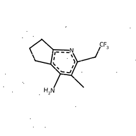 Cc1c(CC(F)(F)F)nc2c(c1N)CCC2